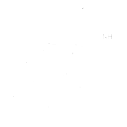 COc1c(C)ccc2c1CC[C@@H]1NCCC[C@H]21